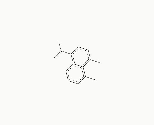 Cc1cccc2c(N(C)C)ccc(C)c12